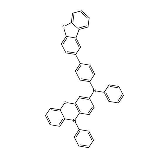 c1ccc(N(c2ccc(-c3ccc4sc5ccccc5c4c3)cc2)c2ccc3c(c2)Oc2ccccc2N3c2ccccc2)cc1